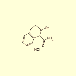 CCN1CCc2[c]cccc2C1C(N)=O.Cl